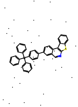 c1ccc([Si](c2ccccc2)(c2ccccc2)c2ccc(-c3ccc4c(cnc5sc6ccccc6c54)c3)cc2)cc1